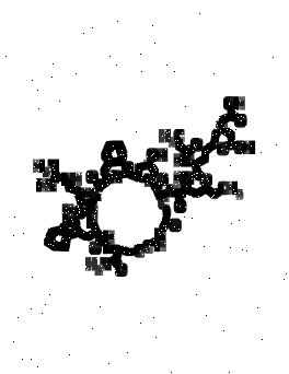 CCCCC(NC(=O)C(CCCCN(CC(=O)O)CC(=O)O)NC(=O)CC)C(=O)NC1CCC(=O)NCCCCC(C(N)=O)NC(=O)C(Cc2c[nH]c3ccccc23)NC(=O)C(CCCNC(=N)N)NC(=O)[C@@H](Cc2ccccc2)NC(=O)C2C[C@@H](O)CN2C1=O